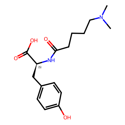 CN(C)CCCCC(=O)N[C@@H](Cc1ccc(O)cc1)C(=O)O